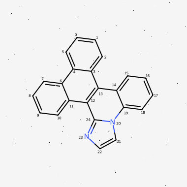 c1ccc2c(c1)c1ccccc1c1c2c2ccccc2n2ccnc12